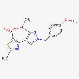 COc1ccc(Cn2cc(-c3nc(C)sc3C=O)c(C(C)O)n2)cc1